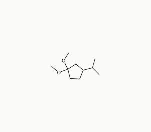 COC1(OC)CCC(C(C)C)C1